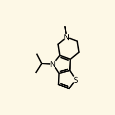 CC(C)n1c2c(c3sccc31)CCN(C)C2